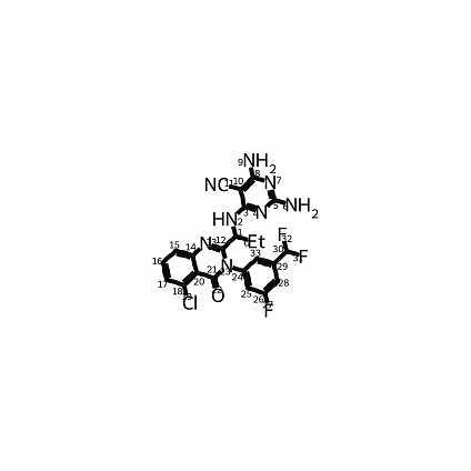 CCC(Nc1nc(N)nc(N)c1C#N)c1nc2cccc(Cl)c2c(=O)n1-c1cc(F)cc(C(F)F)c1